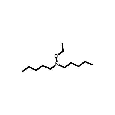 CCCCCN(CCCCC)OCC